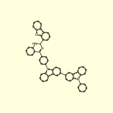 c1ccc(-n2c3ccccc3c3cc(-c4ccc5c(c4)c4ccccc4n5-c4ccc(C5=NC(c6cccc7c6oc6ccccc67)Nc6ccccc65)cc4)ccc32)cc1